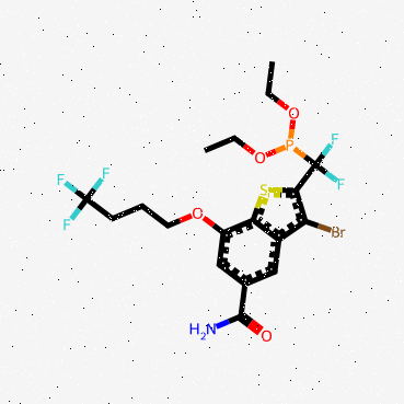 CCOP(OCC)C(F)(F)c1sc2c(OCCCC(F)(F)F)cc(C(N)=O)cc2c1Br